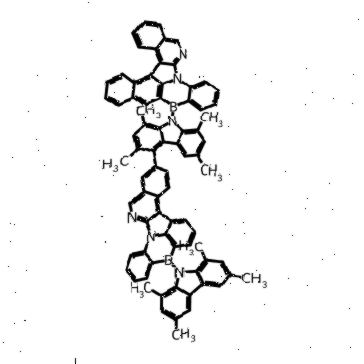 Cc1cc(C)c2c(c1)c1cc(C)cc(C)c1n2B1c2ccccc2-n2c3ncc4cc(-c5c(C)cc(C)c6c5c5cc(C)cc(C)c5n6B5c6ccccc6-n6c7ncc8ccccc8c7c7c8ccccc8cc5c76)ccc4c3c3cccc1c32